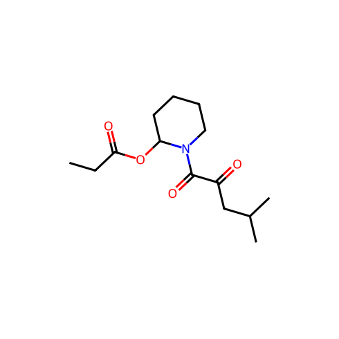 CCC(=O)OC1CCCCN1C(=O)C(=O)CC(C)C